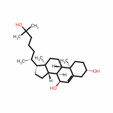 C[C@H](CCCC(C)(C)O)[C@H]1CC[C@H]2[C@@H]3[C@H](O)C=C4C[C@@H](O)CC[C@]4(C)[C@H]3CC[C@]12C